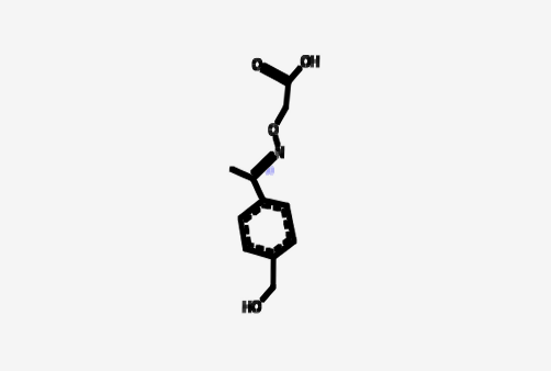 C/C(=N\OCC(=O)O)c1ccc(CO)cc1